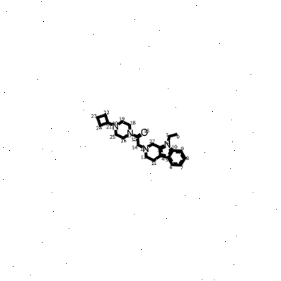 CCn1c2c(c3ccccc31)CCN(CC(=O)N1CCN(C3CCC3)CC1)C2